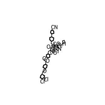 Cc1nc(NCC2CCC2)sc1S(=O)(=O)N1Cc2cc3c(cc2CC1C(=O)NC(Cc1ccc(-c2ccc(C#N)cc2)cc1)C(=O)O)OCC(c1ccc(OCc2ccc(Cl)c(Cl)c2)cc1)O3